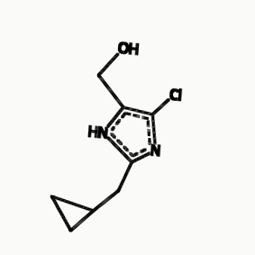 OCc1[nH]c(CC2CC2)nc1Cl